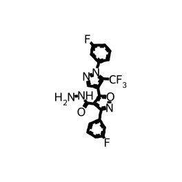 NNC(=O)c1c(-c2cccc(F)c2)noc1-c1cnn(-c2cccc(F)c2)c1C(F)(F)F